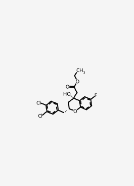 CCOC(=O)C[C@]1(O)C[C@@H](Cc2ccc(Cl)c(Cl)c2)Oc2ccc(F)cc21